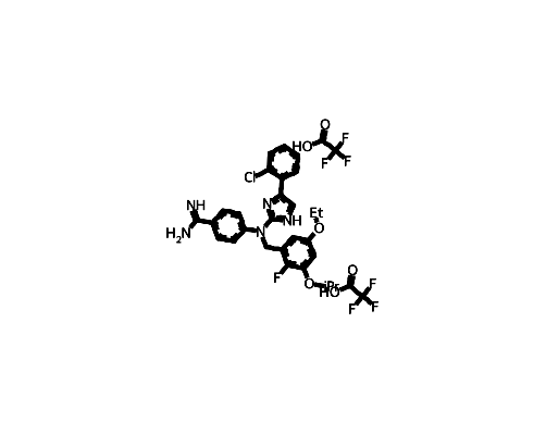 CCOc1cc(CN(c2ccc(C(=N)N)cc2)c2nc(-c3ccccc3Cl)c[nH]2)c(F)c(OC(C)C)c1.O=C(O)C(F)(F)F.O=C(O)C(F)(F)F